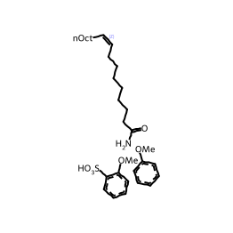 CCCCCCCC/C=C\CCCCCCCC(N)=O.COc1ccccc1.COc1ccccc1S(=O)(=O)O